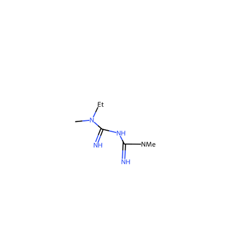 CCN(C)C(=N)NC(=N)NC